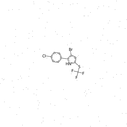 FC(F)(F)Sc1cc(Br)c(-c2ccc(Cl)cc2)[nH]1